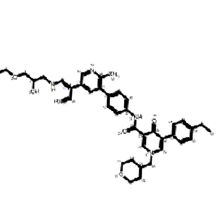 CCOCC(O)CN/C=C(\C=N)c1cnc(N)c(-c2ccc(NC(=O)c3cn(CC4CCOCC4)cc(-c4ccc(CC)cc4)c3=O)cc2)c1